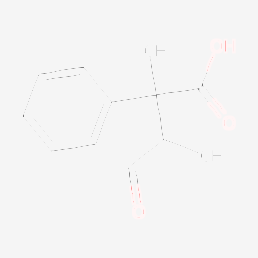 CC(C=O)C(C)(C(=O)O)c1ccccc1